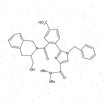 CCCCN(CCCC)C(=O)c1cn(Cc2ccccc2)c(-c2ccc(C(=O)O)cc2C(=O)N2Cc3ccccc3CC2CO)n1